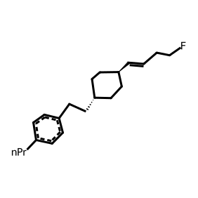 CCCc1ccc(CC[C@H]2CC[C@H](C=CCCF)CC2)cc1